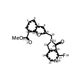 COC(=O)c1cccc2cc(CN3Cc4ccnc(F)c4C3=O)oc12